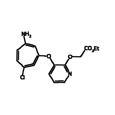 CCOC(=O)COc1ncccc1OC1=C=C(Cl)C=CC(N)=C1